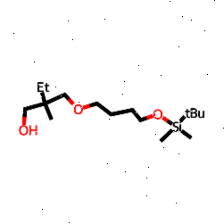 CCC(C)(CO)COCCCCO[Si](C)(C)C(C)(C)C